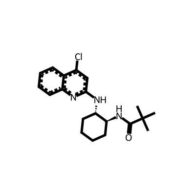 CC(C)(C)C(=O)N[C@H]1CCCC[C@@H]1Nc1cc(Cl)c2ccccc2n1